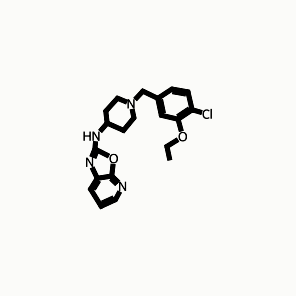 CCOc1cc(CN2CCC(Nc3nc4cccnc4o3)CC2)ccc1Cl